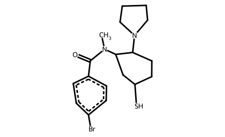 CN(C(=O)c1ccc(Br)cc1)C1CC(S)CCC1N1CCCC1